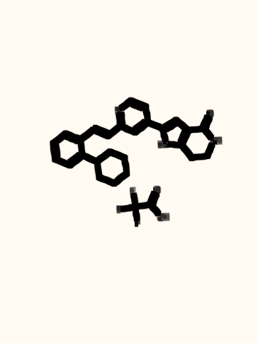 O=C(O)C(F)(F)F.O=C1NCCc2[nH]c(-c3ccnc(C=Cc4ccccc4C4CCCCC4)c3)cc21